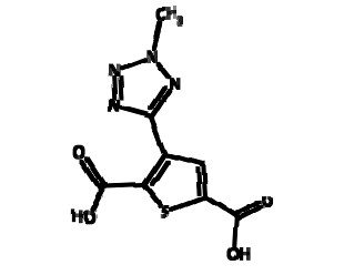 Cn1nnc(-c2cc(C(=O)O)sc2C(=O)O)n1